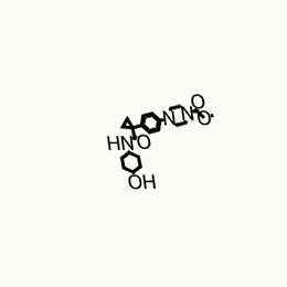 COC(=O)N1CCN(c2ccc(C3(C(=O)N[C@H]4CC[C@H](O)CC4)CC3)cc2)CC1